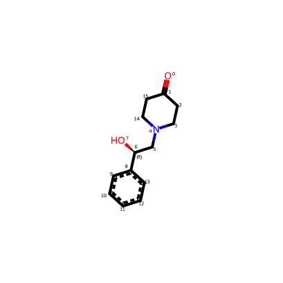 O=C1CCN(C[C@H](O)c2ccccc2)CC1